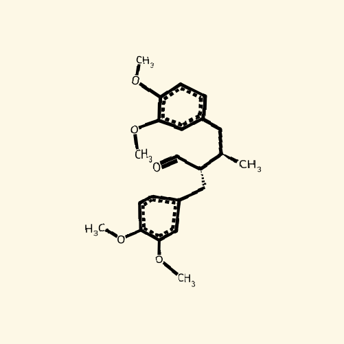 COc1ccc(C[C@@H](C)[C@@H](C=O)Cc2ccc(OC)c(OC)c2)cc1OC